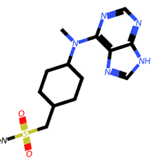 CNS(=O)(=O)CC1CCC(N(C)c2ncnc3[nH]cnc23)CC1